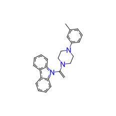 C=C(N1CCN(c2cccc(C)c2)CC1)n1c2ccccc2c2ccccc21